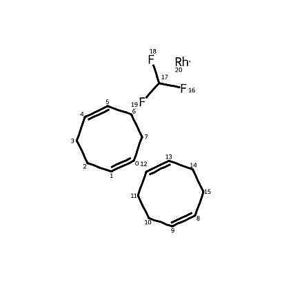 C1=CCCC=CCC1.C1=CCCC=CCC1.FC(F)F.[Rh]